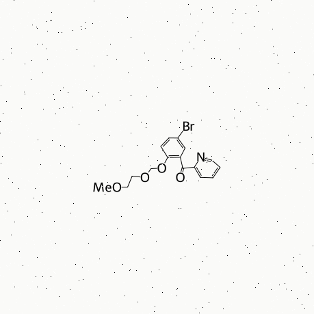 COCCOCOc1ccc(Br)cc1C(=O)c1ccccn1